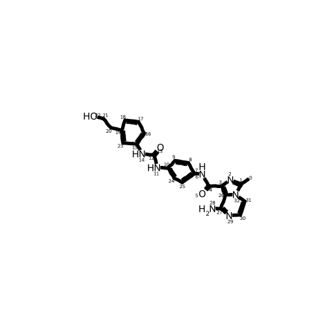 Cc1nc(C(=O)Nc2ccc(NC(=O)Nc3cccc(CCO)c3)cc2)c2c(N)nccn12